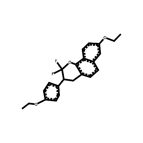 CCOc1ccc(C2Cc3ccc4cc(OCC)ccc4c3OC2(F)F)cc1